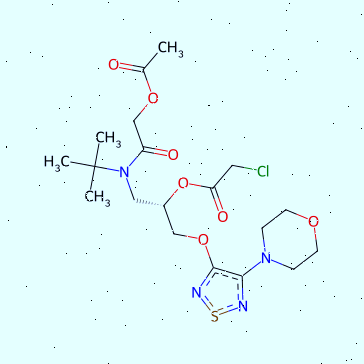 CC(=O)OCC(=O)N(C[C@@H](COc1nsnc1N1CCOCC1)OC(=O)CCl)C(C)(C)C